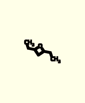 CCC1CC(CC)O1